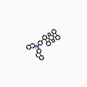 c1ccc2c(c1)-c1ccccc1C21c2ccccc2C2(c3ccccc3-c3c(-c4ccc(N(c5ccc6ccccc6c5)c5ccc6c(ccc7ccccc76)c5)cc4)cccc32)c2ccccc21